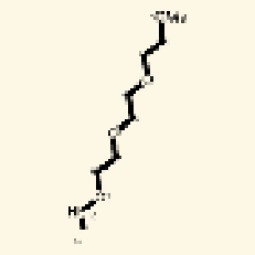 COCCOCCOCCOPI